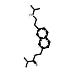 CC(C)NCCc1ccc2ccc(CCC(=O)C(C)C)cc2c1